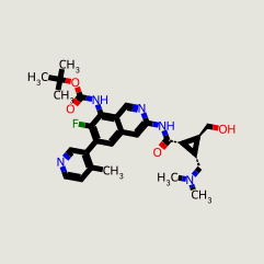 Cc1ccncc1-c1cc2cc(NC(=O)[C@@H]3[C@@H](CO)[C@@H]3CN(C)C)ncc2c(NC(=O)OC(C)(C)C)c1F